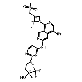 CC(C)c1cnc(N2C[C@H](CS(C)(=O)=O)[C@H]2C)c2cnc(Nc3ccnc(N4CC[C@@](C)(O)C(F)(F)C4)n3)cc12